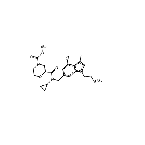 CC(=O)NCCn1cc(C)c2c(Cl)cc(CN(C(=O)[C@H]3CN(C(=O)OC(C)(C)C)CCO3)C3CC3)cc21